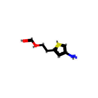 Nc1csc(CCOC=O)c1